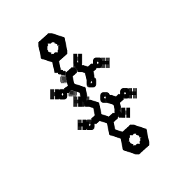 O=C(O)NC(Cc1ccccc1)C(O)CNC[C@@H](O)[C@H](Cc1ccccc1)NC(=O)O